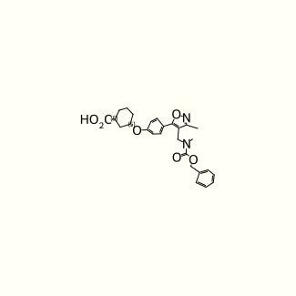 Cc1noc(-c2ccc(O[C@H]3CCC[C@H](C(=O)O)C3)cc2)c1CN(C)C(=O)OCc1ccccc1